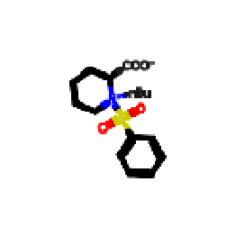 CCCC[N+]1(S(=O)(=O)c2ccccc2)CCCCC1C(=O)[O-]